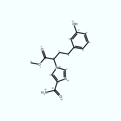 COC(=O)C(CCc1cccc(O)c1)n1cnc(C(N)=O)c1